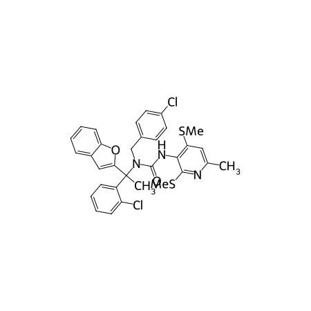 CSc1cc(C)nc(SC)c1NC(=O)N(Cc1ccc(Cl)cc1)C(C)(c1cc2ccccc2o1)c1ccccc1Cl